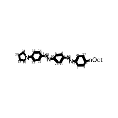 CCCCCCCCc1ccc(N=Nc2ccc(N=Nc3ccc(N4CCCC4)cc3)cc2)cc1